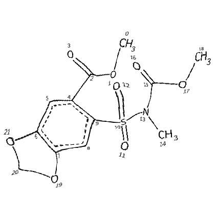 COC(=O)c1cc2c(cc1S(=O)(=O)N(C)C(=O)OC)OCO2